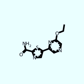 CCOc1cncc(-c2cnc(C(N)=O)s2)n1